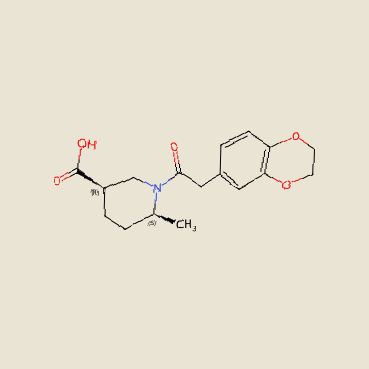 C[C@H]1CC[C@@H](C(=O)O)CN1C(=O)Cc1ccc2c(c1)OCCO2